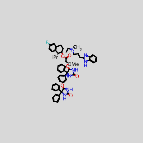 COCC(=O)O[C@]1(CCN(C)CCCc2nc3ccccc3[nH]2)CCc2cc(F)ccc2[C@@H]1C(C)C.O=C1NC(=O)C(c2ccccc2)(c2ccccc2)N1.O=C1NC(=O)C(c2ccccc2)(c2ccccc2)N1